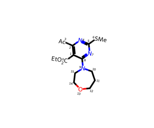 CCOC(=O)c1c(C(C)=O)nc(SC)nc1N1CCCOCC1